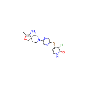 C[C@@H]1OCC2(CCN(c3cnc(Sc4cc[nH]c(=O)c4Cl)cn3)CC2)[C@@H]1N